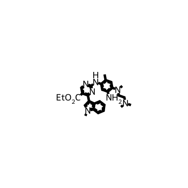 CCOC(=O)c1cnc(Nc2cc(N)c(N(C)CCN(C)C)cc2C)nc1-c1cn(C)c2ccccc12